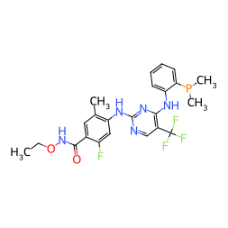 CCONC(=O)c1cc(C)c(Nc2ncc(C(F)(F)F)c(Nc3ccccc3P(C)C)n2)cc1F